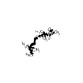 CCN1CC(=O)N(CCC(CC)(CC)CCCCOCCCCC(CC)(CC)CCCCO)C1=O